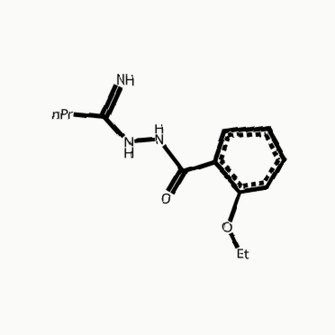 CCCC(=N)NNC(=O)c1ccccc1OCC